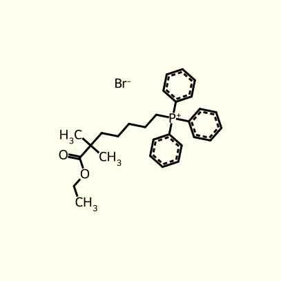 CCOC(=O)C(C)(C)CCCCC[P+](c1ccccc1)(c1ccccc1)c1ccccc1.[Br-]